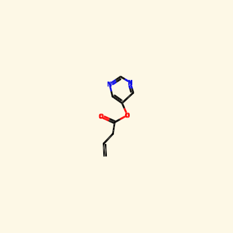 C=CCC(=O)Oc1cncnc1